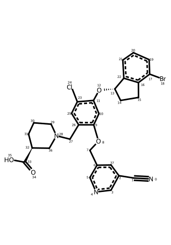 N#Cc1cncc(COc2cc(O[C@H]3CCc4c(Br)cccc43)c(Cl)cc2CN2CCC[C@H](C(=O)O)C2)c1